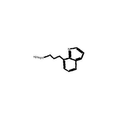 CCCCCCCCCCc1cccc2cc[c]nc12